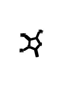 C=C1OC(C(C)C)C(=N)N1C(C)C